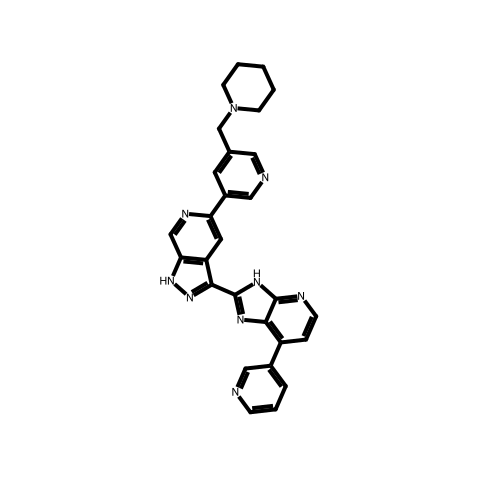 c1cncc(-c2ccnc3[nH]c(-c4n[nH]c5cnc(-c6cncc(CN7CCCCC7)c6)cc45)nc23)c1